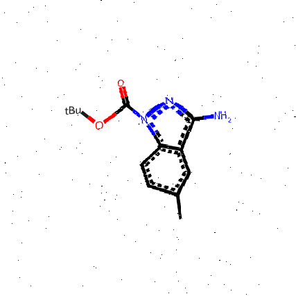 Cc1ccc2c(c1)c(N)nn2C(=O)OC(C)(C)C